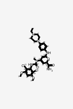 CCN1CCN(c2ccc(NC3=CC(N(C)C(=O)Nc4c(Cl)c(OC)cc(OC)c4Cl)=CC(C(N)=O)O3)cc2)CC1